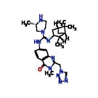 C[C@@H]1C(N=C(Nc2ccc3c(=O)n(C)c(Cn4cnnn4)nc3c2)N2CCN[C@@H](C)C2)C[C@H]2C[C@@H]1C2(C)C